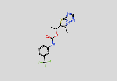 Cc1c(C(C)OC(=O)Nc2cccc(C(F)(F)F)c2)sc2ncnn12